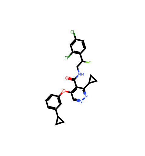 O=C(NCC(F)c1ccc(Cl)cc1Cl)c1c(Oc2cccc(C3CC3)c2)cnnc1C1CC1